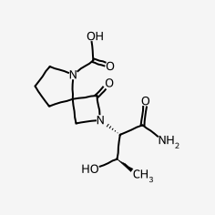 C[C@@H](O)[C@@H](C(N)=O)N1CC2(CCCN2C(=O)O)C1=O